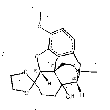 COc1ccc2c3c1O[C@H]1C4(CCC5(O)[C@@H](C2)N(C)CC[C@]315)OCCO4